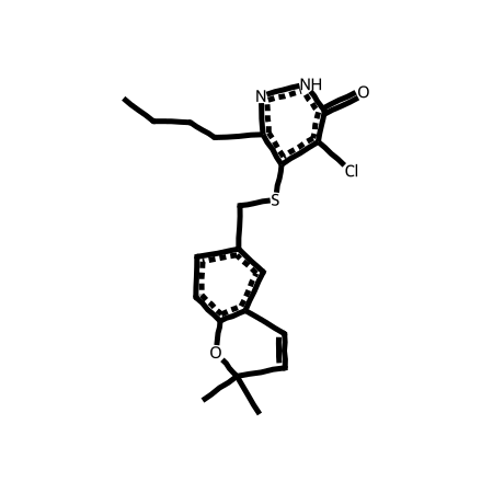 CCCCc1n[nH]c(=O)c(Cl)c1SCc1ccc2c(c1)C=CC(C)(C)O2